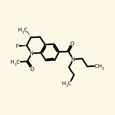 CCCN(CCC)C(=O)c1ccc2c(c1)C[C@@H](C)[C@H](F)N2C(C)=O